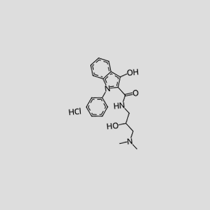 CN(C)CC(O)CNC(=O)c1c(O)c2ccccc2n1-c1ccccc1.Cl